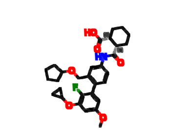 COc1cc(OC2CC2)c(F)c(-c2ccc(NC(=O)[C@H]3CCCC[C@H]3C(=O)O)cc2COC2CCCC2)c1